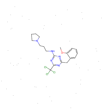 COc1ccccc1Cc1nc(NCCCN2CCCC2)nc(C(Cl)(Cl)Cl)n1